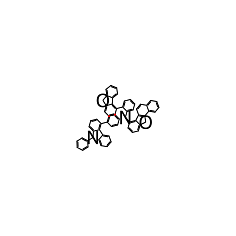 c1ccc(-n2c3ccccc3c3c(-c4ccc(N(c5ccccc5-c5cccc6oc7ccccc7c56)c5cccc6oc7c8ccccc8ccc7c56)cc4)cccc32)cc1